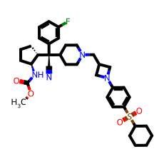 COC(=O)N[C@H]1CCC[C@@H]1[C@](C#N)(c1cccc(F)c1)C1CCN(CC2CN(c3ccc(S(=O)(=O)C4CCCCC4)cc3)C2)CC1